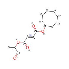 CC(C=O)OC(=O)/C=C/C(=O)OC1CCCCCCC1